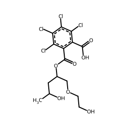 CC(O)CC(COCCO)OC(=O)c1c(Cl)c(Cl)c(Cl)c(Cl)c1C(=O)O